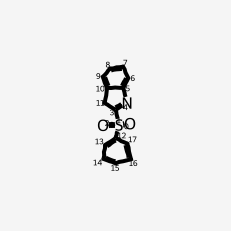 O=S(=O)(C1=Nc2ccccc2C1)c1ccccc1